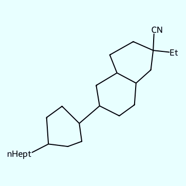 CCCCCCCC1CCC(C2CCC3CC(C#N)(CC)CCC3C2)CC1